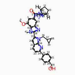 COc1cc(C(=O)N2C[C@H]3CC[C@@H]2[C@@H]3N)cc2nc(-c3cc4ccc(-c5ccc(CO)cc5)nc4n3CC3CC3)n(C)c12